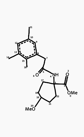 COC(=O)C1(NC(=O)Cc2cc(C)cc(C)c2C)CCC(OC)CC1